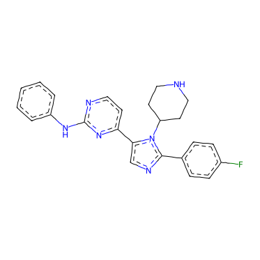 Fc1ccc(-c2ncc(-c3ccnc(Nc4ccccc4)n3)n2C2CCNCC2)cc1